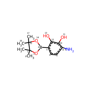 CC1(C)OB(c2ccc(N)c(O)c2O)OC1(C)C